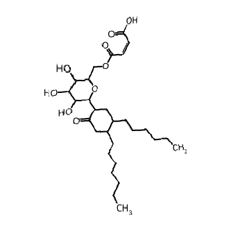 CCCCCCCC1CC(=O)C(C2OC(COC(=O)/C=C\C(=O)O)C(O)C(O)C2O)CC1CCCCCC